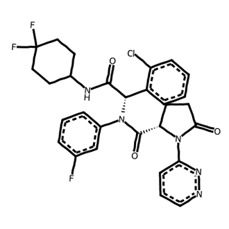 O=C(NC1CCC(F)(F)CC1)[C@H](c1ccccc1Cl)N(C(=O)[C@@H]1CCC(=O)N1c1cccnn1)c1cccc(F)c1